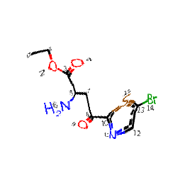 CCOC(=O)C(N)CC(=O)c1ncc(Br)s1